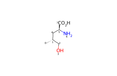 C[C@@H](CO)C[C@H](N)C(=O)O